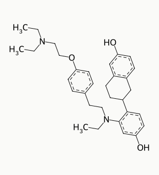 CCN(CC)CCOc1ccc(CCN(CC)c2cc(O)ccc2C2CCc3cc(O)ccc3C2)cc1